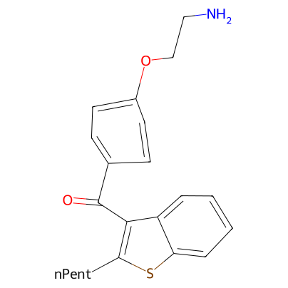 CCCCCc1sc2ccccc2c1C(=O)c1ccc(OCCN)cc1